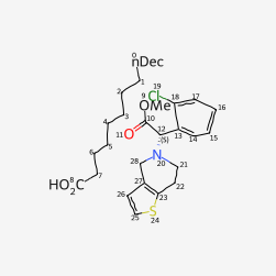 CCCCCCCCCCCCCCCCCC(=O)O.COC(=O)[C@H](c1ccccc1Cl)N1CCc2sccc2C1